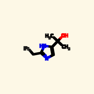 CC(C)Cc1ncc(C(C)(C)O)[nH]1